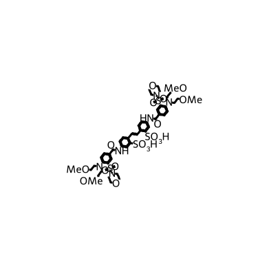 COCCN(CCOC)c1ccc(C(=O)Nc2ccc(C=Cc3ccc(NC(=O)c4ccc(N(CCOC)CCOC)c(S(=O)(=O)N5CCOCC5)c4)cc3S(=O)(=O)O)c(S(=O)(=O)O)c2)cc1S(=O)(=O)N1CCOCC1